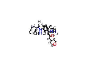 C#C/C=C\C(C#C)=C(/C)Nc1cccc(C(CC(=O)CC2CCOCC2)NC(=C)C)c1C